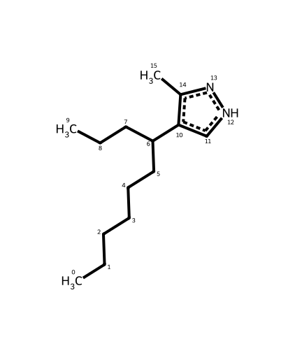 CCCCCCC(CCC)c1c[nH]nc1C